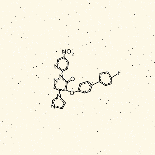 O=c1c(Oc2ccc(-c3ccc(F)cc3)cc2)c(-n2ccnc2)cnn1-c1ccc([N+](=O)[O-])cn1